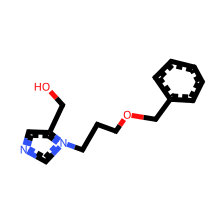 OCc1cncn1CCCOCc1ccccc1